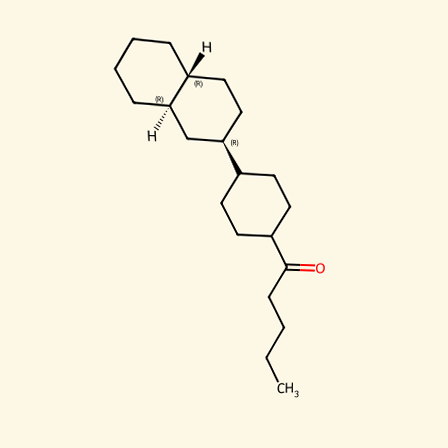 CCCCC(=O)C1CCC([C@@H]2CC[C@H]3CCCC[C@@H]3C2)CC1